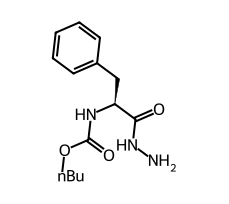 CCCCOC(=O)N[C@@H](Cc1ccccc1)C(=O)NN